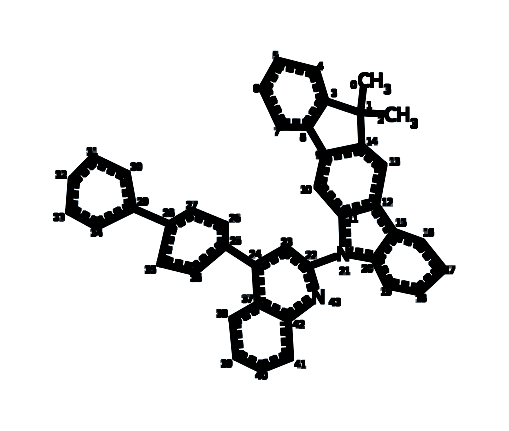 CC1(C)c2ccccc2-c2cc3c(cc21)c1ccccc1n3-c1cc(-c2ccc(-c3ccccc3)cc2)c2ccccc2n1